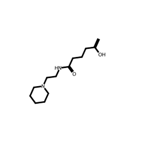 C=C(O)CCCC(=O)NCCN1CCCCC1